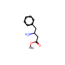 CCCCOC(=O)[CH]C(N)Cc1ccccc1